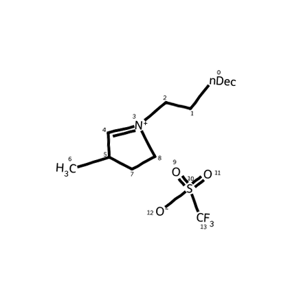 CCCCCCCCCCCC[N+]1=CC(C)CC1.O=S(=O)([O-])C(F)(F)F